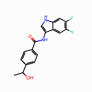 CC(O)c1ccc(C(=O)Nc2c[nH]c3cc(F)c(F)cc23)cc1